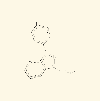 CCCCCc1nn(-c2ccncc2)c2ccccc12